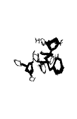 CC(C)(CC(O)(CC1CCCCC1)C(=O)Nc1cc(Cl)cc(Cl)c1)c1cc(F)ccc1O